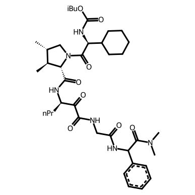 CCC[C@@H](NC(=O)[C@@H]1[C@@H](C)[C@H](C)CN1C(=O)[C@@H](NC(=O)OCC(C)C)C1CCCCC1)C(=O)C(=O)NCC(=O)NC(C(=O)N(C)C)c1ccccc1